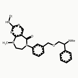 CCNc1ncc2c(n1)N(C)CCN(c1cccc(COCC(NC)c3ccccc3)c1)C2=O